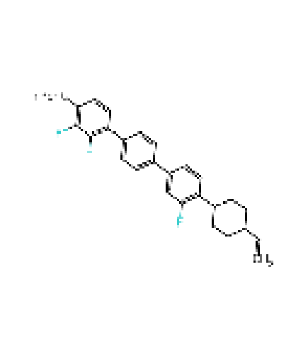 C=CC1CCC(c2ccc(-c3ccc(-c4ccc(CCCCC)c(F)c4F)cc3)cc2F)CC1